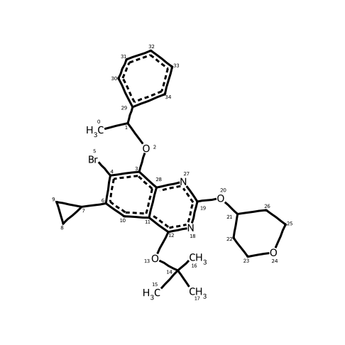 CC(Oc1c(Br)c(C2CC2)cc2c(OC(C)(C)C)nc(OC3CCOCC3)nc12)c1ccccc1